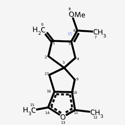 C=C1CC2(C/C1=C(\C)OC)Cc1c(C)oc(C)c1C2